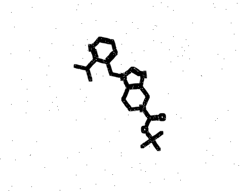 CC(C)c1ncccc1Cn1cnc2c1CCN(C(=O)OC(C)(C)C)C2